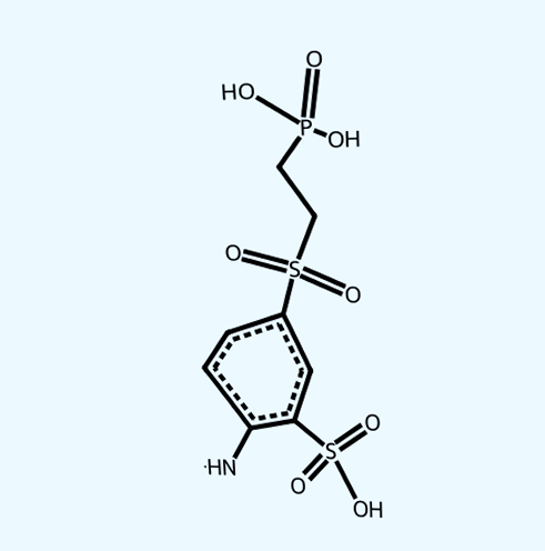 [NH]c1ccc(S(=O)(=O)CCP(=O)(O)O)cc1S(=O)(=O)O